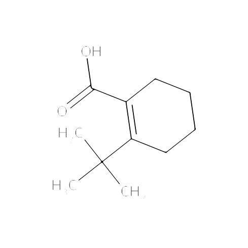 CC(C)(C)C1=C(C(=O)O)CCCC1